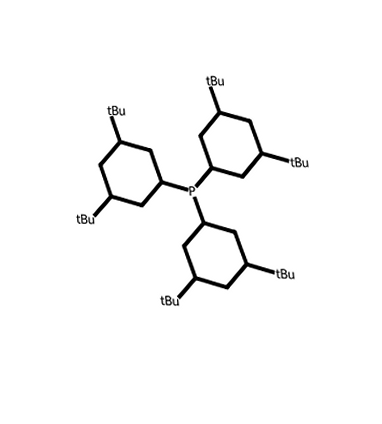 CC(C)(C)C1CC(P(C2CC(C(C)(C)C)CC(C(C)(C)C)C2)C2CC(C(C)(C)C)CC(C(C)(C)C)C2)CC(C(C)(C)C)C1